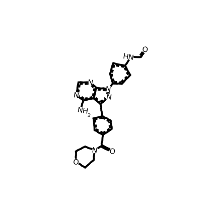 Nc1ncnc2c1c(-c1ccc(C(=O)N3CCOCC3)cc1)nn2-c1ccc(NC=O)cc1